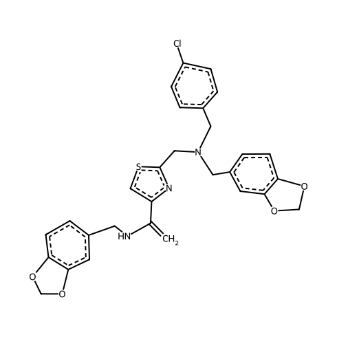 C=C(NCc1ccc2c(c1)OCO2)c1csc(CN(Cc2ccc(Cl)cc2)Cc2ccc3c(c2)OCO3)n1